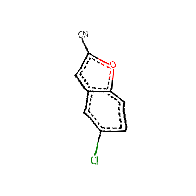 N#Cc1cc2cc(Cl)ccc2o1